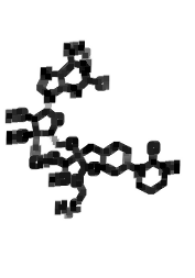 C#C[C@@]1(O)[C@@H](CO[C@@](Cc2ccc(N3CCCNC3=O)cc2)(C(=O)O)C(=O)OCC)O[C@@H](n2cnc3c(N)nc(Cl)nc32)[C@@H]1O